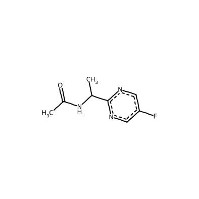 CC(=O)NC(C)c1ncc(F)cn1